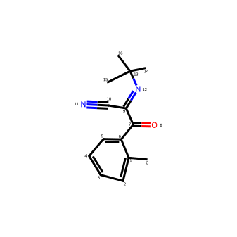 Cc1ccccc1C(=O)/C(C#N)=N/C(C)(C)C